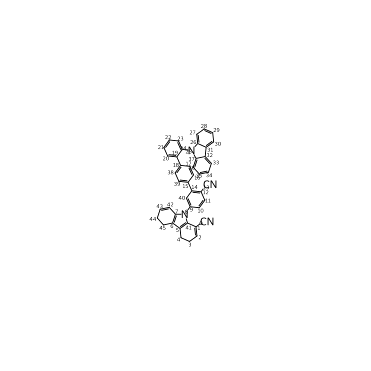 N#CC1=CCCc2c3c(n(-c4ccc(C#N)c(-c5ccc(-c6ccccc6-n6c7ccccc7c7ccccc76)cc5)c4)c21)C=CCC3